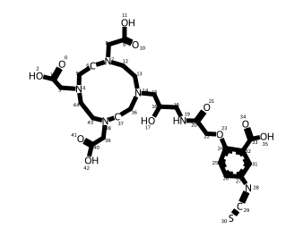 O=C(O)CN1CCN(CC(=O)O)CCN(CC(O)CNC(=O)COc2ccc(N=C=S)cc2C(=O)O)CCN(CC(=O)O)CC1